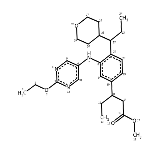 CCOc1ncc(Nc2cc(C(CC)CC(=O)OC)ccc2C(CC)C2CCOCC2)cn1